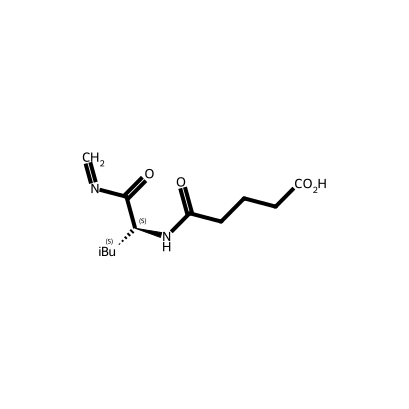 C=NC(=O)[C@@H](NC(=O)CCCC(=O)O)[C@@H](C)CC